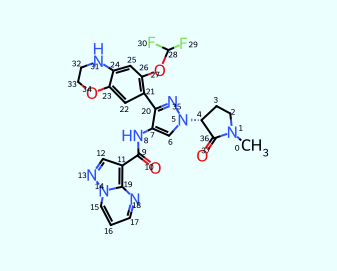 CN1CC[C@@H](n2cc(NC(=O)c3cnn4cccnc34)c(-c3cc4c(cc3OC(F)F)NCCO4)n2)C1=O